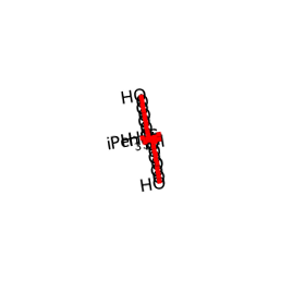 CCC[C@@H](C)[C@H]1CC[C@H]2[C@@H]3[C@H](OCCOCCOCCOCCOCCOCCO)C[C@@H]4CCCC[C@]4(C)[C@H]3C[C@H](OCCOCCOCCOCCOCCOCCO)[C@]12C